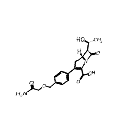 C[C@@H](O)[C@H]1C(=O)N2C(C(=O)O)=C(c3ccc(COCC(N)=O)cc3)C[C@H]12